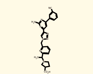 CC(c1cccc(Cn2cc(-c3cc(-c4cccc(C#N)c4)nc(N)n3)nn2)n1)N1CCC(C(=O)O)C1